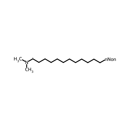 CCCCCCCCCCCCCCCCCCCC[CH]N(C)C